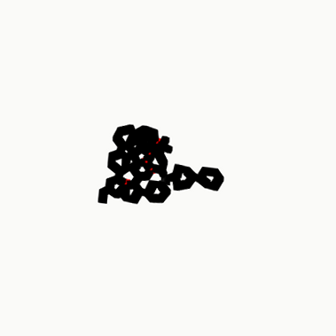 C=Cc1cccc(-c2ccc3c(c2)C2(c4ccccc4-3)c3ccccc3-c3ccc(-c4ccccc4-c4cccc(N(c5ccc(-c6ccccc6)cc5)c5ccc6c(c5)C(C)(C)c5ccccc5-6)c4)cc32)c1